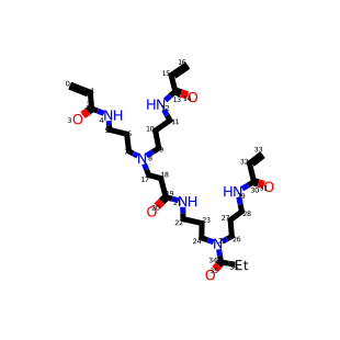 C=CC(=O)NCCCN(CCCNC(=O)C=C)CCC(=O)NCCCN(CCCNC(=O)C=C)C(=O)CC